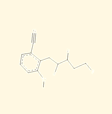 COc1cccc(C#N)c1CC(F)C(F)CCF